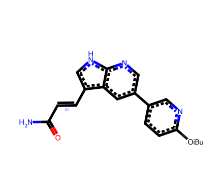 CC(C)COc1ccc(-c2cnc3[nH]cc(/C=C/C(N)=O)c3c2)cn1